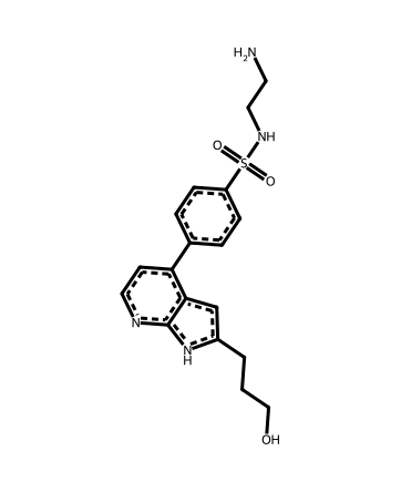 NCCNS(=O)(=O)c1ccc(-c2ccnc3[nH]c(CCCO)cc23)cc1